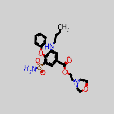 CCCCNc1cc(C(=O)OCCN2CCOCC2)cc(S(N)(=O)=O)c1Oc1ccccc1